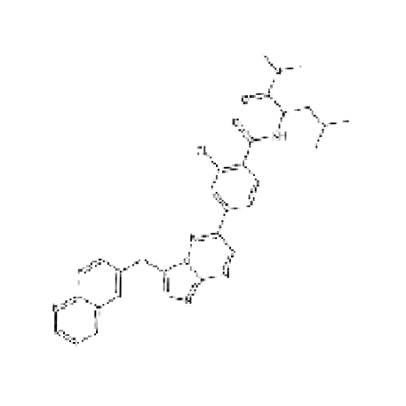 CC(C)CC(NC(=O)c1ccc(-c2cnc3ncc(Cc4ccc5ncccc5c4)n3n2)cc1Cl)C(=O)N(C)C